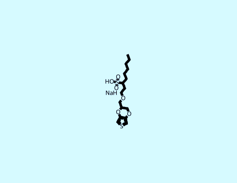 CCCCCCC(CCOCC1COc2cscc2O1)S(=O)(=O)O.[NaH]